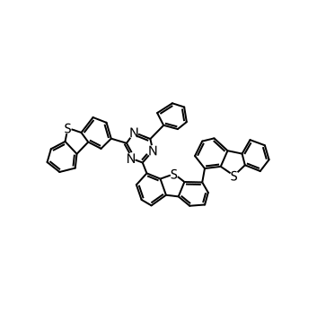 c1ccc(-c2nc(-c3ccc4sc5ccccc5c4c3)nc(-c3cccc4c3sc3c(-c5cccc6c5sc5ccccc56)cccc34)n2)cc1